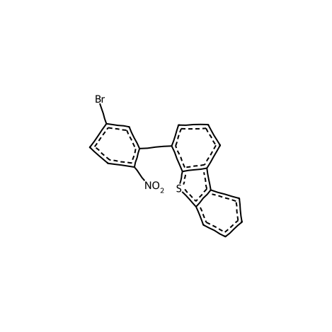 O=[N+]([O-])c1ccc(Br)cc1-c1cccc2c1sc1ccccc12